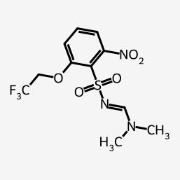 CN(C)C=NS(=O)(=O)c1c(OCC(F)(F)F)cccc1[N+](=O)[O-]